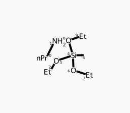 CCCN.CCO[Si](C)(OCC)OCC